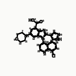 O=C(O)c1cc(N2CCOCC2)cc2c1nc(-c1cn[nH]c1)n2-c1ccnc2c(Cl)cccc12